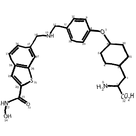 NC(CC1CCC(Oc2ccc(CNCc3ccc4cc(C(=O)NO)sc4c3)cc2)CC1)C(=O)O